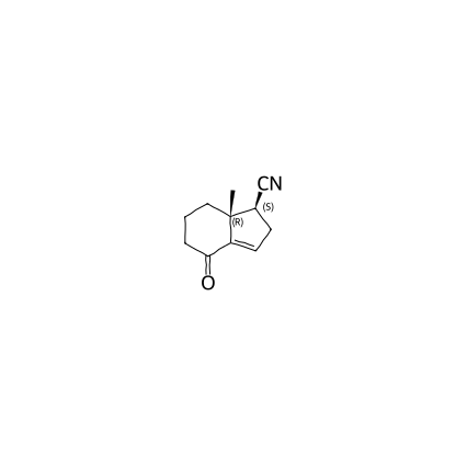 C[C@]12CCCC(=O)C1=CC[C@@H]2C#N